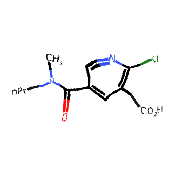 CCCN(C)C(=O)c1cnc(Cl)c(C(=O)O)c1